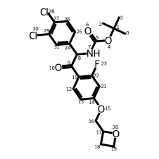 CC(C)(C)OC(=O)NC(C(=O)c1ccc(OCC2CCO2)cc1F)c1ccc(Cl)c(Cl)c1